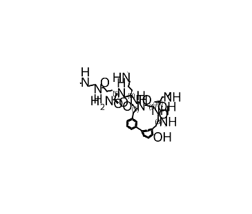 CNCCC[C@@H](NC(=O)[C@@H]1Cc2cccc(c2)-c2ccc(O)c(c2)C[C@H](NC)C(=O)N[C@@H](C[C@@H](O)CNC)C(=O)N1)C(=O)N[C@@H](CCC(=O)NCCNC)C(N)=O